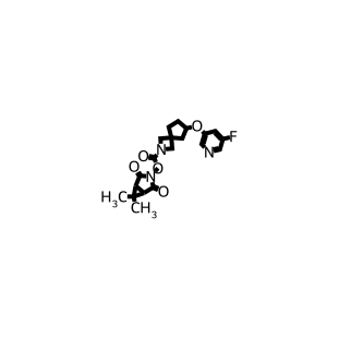 CC1(C)C2C(=O)N(OC(=O)N3CC4(CCC(Oc5cncc(F)c5)C4)C3)C(=O)C21